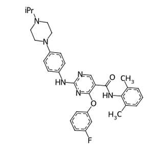 Cc1cccc(C)c1NC(=O)c1cnc(Nc2ccc(N3CCN(C(C)C)CC3)cc2)nc1Oc1cccc(F)c1